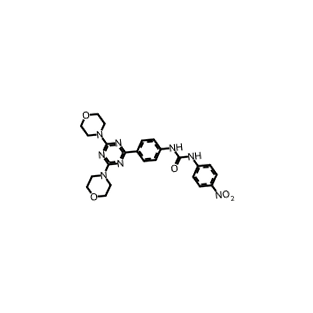 O=C(Nc1ccc(-c2nc(N3CCOCC3)nc(N3CCOCC3)n2)cc1)Nc1ccc([N+](=O)[O-])cc1